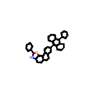 C1=Cc2c(c(-c3ccccc3)c3ccccc3c2-c2ccc3c(ccc4ccc5c(c43)OC(c3ccccc3)N5)c2)CC1